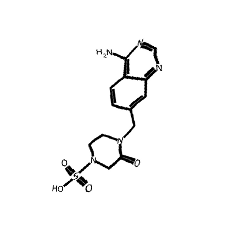 Nc1ncnc2cc(CN3CCN(S(=O)(=O)O)CC3=O)ccc12